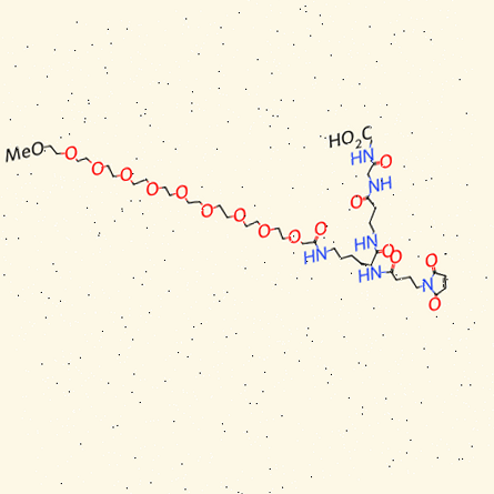 COCCOCCOCCOCCOCCOCCOCCOCCOCCOCC(=O)NCCCC[C@H](NC(=O)CCCN1C(=O)C=CC1=O)C(=O)NCCCC(=O)NCC(=O)NCC(=O)O